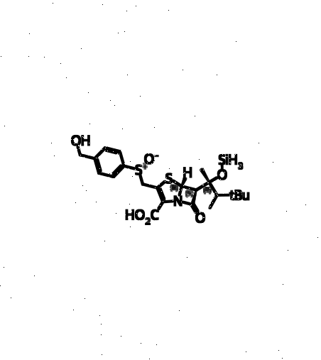 CC(C(C)(C)C)[C@@](C)(O[SiH3])[C@H]1C(=O)N2C(C(=O)O)=C(C[S+]([O-])c3ccc(CO)cc3)S[C@H]12